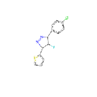 FC1C(c2ccc(Cl)cc2)N=NC1c1cccs1